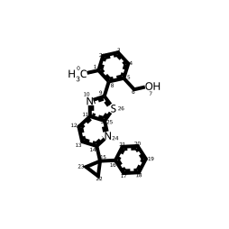 Cc1cccc(CO)c1-c1nc2ccc(C3(c4ccccc4)CC3)nc2s1